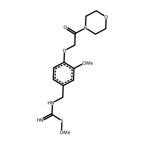 COSC(=N)NCc1ccc(OCC(=O)N2CCOCC2)c(OC)c1